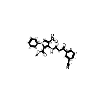 COC(=O)c1c(NC(=O)CC(=O)c2cccc(C#N)c2)c([N+](=O)[O-])cn1-c1ccccc1